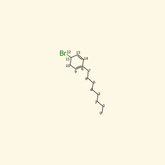 CCCCCCCCC1=CCC(Br)C=C1